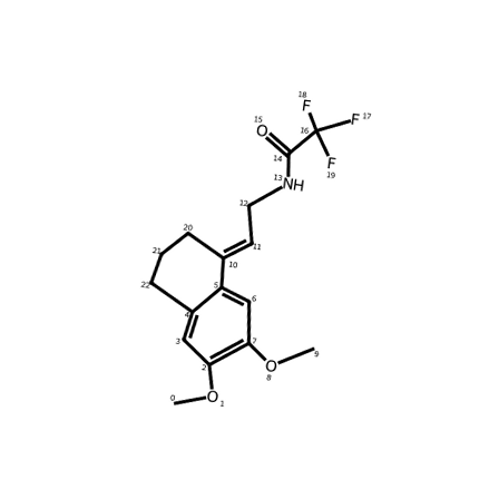 COc1cc2c(cc1OC)C(=CCNC(=O)C(F)(F)F)CCC2